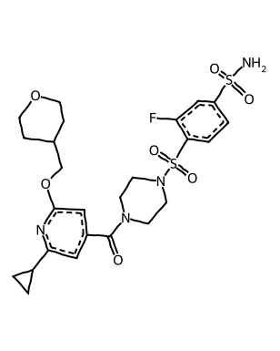 NS(=O)(=O)c1ccc(S(=O)(=O)N2CCN(C(=O)c3cc(OCC4CCOCC4)nc(C4CC4)c3)CC2)c(F)c1